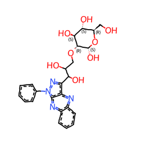 OC[C@H]1O[C@H](O)[C@H](OCC(O)C(O)c2nn(-c3ccccc3)c3nc4ccccc4nc23)[C@@H](O)[C@@H]1O